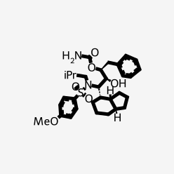 COc1ccc(S(=O)(=O)N(CC(C)C)C([C@H]2CCC[C@@H]3CCC[C@H]32)[C@H](O)[C@H](Cc2ccccc2)OC(N)=O)cc1